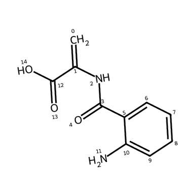 C=C(NC(=O)c1ccccc1N)C(=O)O